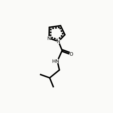 CC(C)CNC(=O)n1cccn1